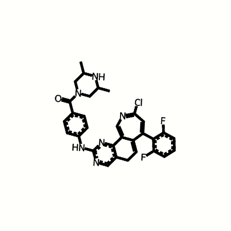 CC1CN(C(=O)c2ccc(Nc3ncc4c(n3)C3=CN=C(Cl)C=C(c5c(F)cccc5F)C3=CC4)cc2)CC(C)N1